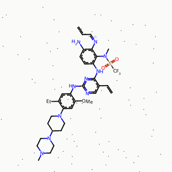 C=C/C=N\c1c(N)ccc(Nc2nc(Nc3cc(CC)c(N4CCC(N5CCN(C)CC5)CC4)cc3OC)ncc2C=C)c1N(C)S(=O)(=O)C(F)(F)F